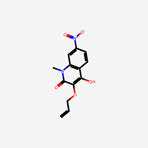 C=CCOc1c(O)c2ccc([N+](=O)[O-])cc2n(C)c1=O